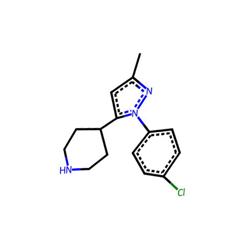 Cc1cc(C2CCNCC2)n(-c2ccc(Cl)cc2)n1